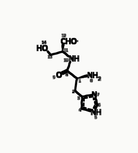 N[C@@H](Cc1c[nH]cn1)C(=O)N[C@H]([C]=O)CO